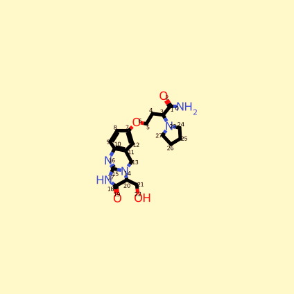 NC(=O)C(CCOc1ccc2c(c1)CN1C(=N2)NC(=O)C1CO)N1CCCC1